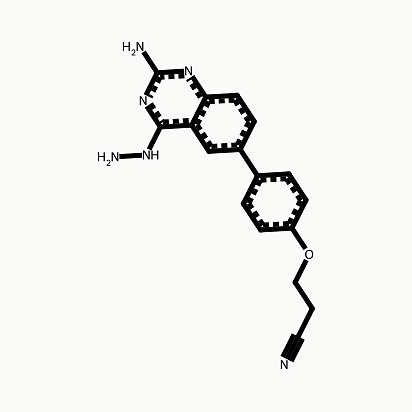 N#CCCOc1ccc(-c2ccc3nc(N)nc(NN)c3c2)cc1